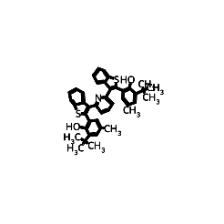 Cc1cc(-c2sc3ccccc3c2-c2cccc(-c3c(-c4cc(C)cc(C(C)(C)C)c4O)sc4ccccc34)n2)c(O)c(C(C)(C)C)c1